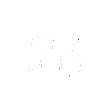 CCPc1ccccc1-c1ccccc1OC